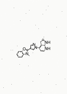 C[C@H]1CC2=C(n3cc([C@@H]4Oc5ccccc5N4C)cn3)C=CNC2N1